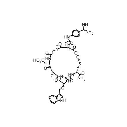 C[C@@H]1NC(=O)[C@H](CC(=O)O)NC(=O)CNC(=O)[C@H](CC(=O)Nc2ccc(C(=N)N)cc2)NC(=O)CCSSCC(C(N)=O)NC(=O)[C@@H]2CC(OCc3c[nH]c4ccccc34)CN2C1=O